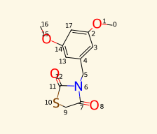 COc1cc(CN2C(=O)CSC2=O)cc(OC)c1